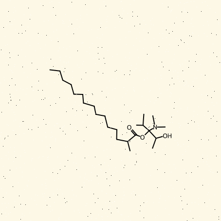 CCCCCCCCCCCCCC(C)C(=O)OC(C(C)C)(C(C)O)N(C)C